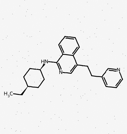 CC[C@H]1CC[C@@H](Nc2ncc(CCc3cccnc3)c3ccccc23)CC1